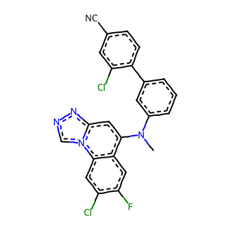 CN(c1cccc(-c2ccc(C#N)cc2Cl)c1)c1cc2nncn2c2cc(Cl)c(F)cc12